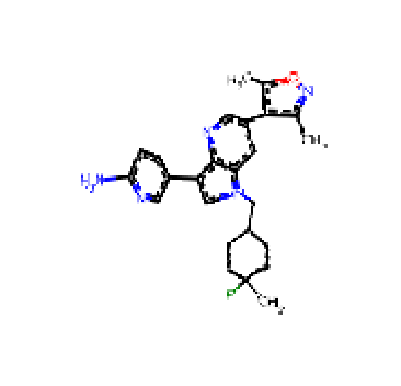 Cc1noc(C)c1-c1cnc2c(-c3ccc(N)nc3)cn(CC3CCC(C)(F)CC3)c2c1